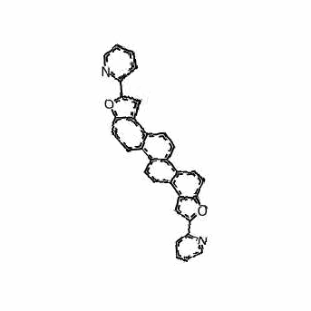 c1ccc(-c2cc3c(ccc4c3ccc3c5ccc6oc(-c7ccccn7)cc6c5ccc43)o2)nc1